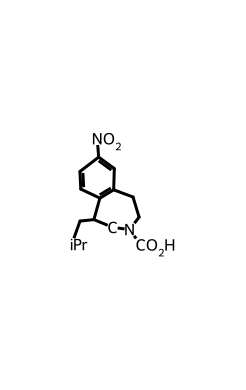 CC(C)CC1CN(C(=O)O)CCc2cc([N+](=O)[O-])ccc21